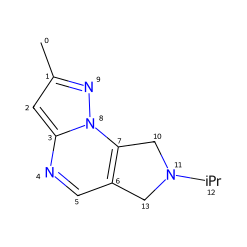 Cc1cc2ncc3c(n2n1)CN(C(C)C)C3